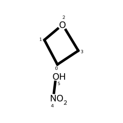 C1COC1.O=[N+]([O-])O